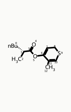 CCCC[C@@H](C)C(=O)OC1=CCSC=C1C